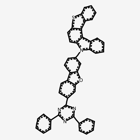 c1ccc(-c2nc(-c3ccccc3)nc(-c3ccc4c(c3)oc3cc(-n5c6ccccc6c6c7c(ccc65)sc5ccccc57)ccc34)n2)cc1